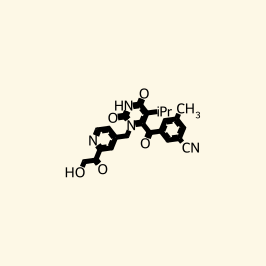 Cc1cc(C#N)cc(C(=O)c2c(C(C)C)c(=O)[nH]c(=O)n2Cc2ccnc(C(=O)CO)c2)c1